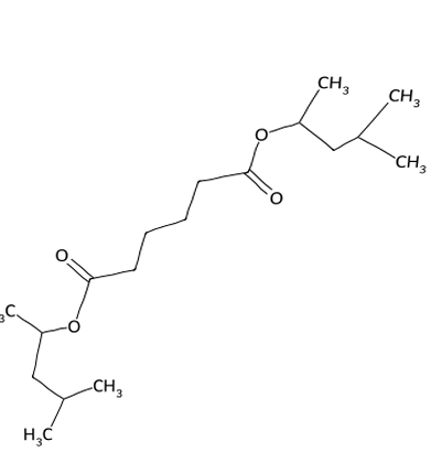 CC(C)CC(C)OC(=O)CCCCC(=O)OC(C)CC(C)C